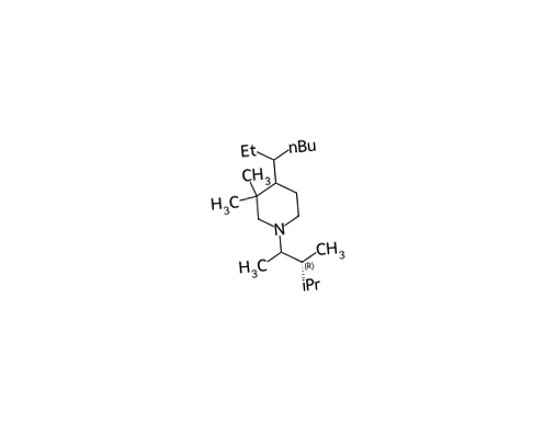 CCCCC(CC)C1CCN(C(C)[C@H](C)C(C)C)CC1(C)C